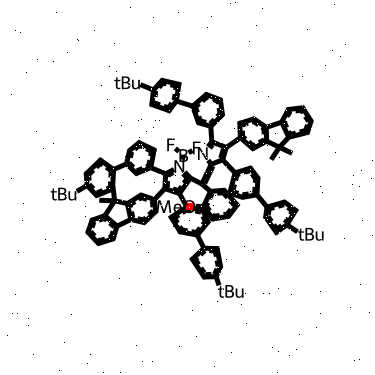 COc1ccccc1/C(=C1/N=C(c2cccc(-c3ccc(C(C)(C)C)cc3)c2)C(c2ccc3c(c2)C(C)(C)c2ccccc2-3)=C1c1ccc(-c2ccc(C(C)(C)C)cc2)cc1)c1c(-c2ccc(-c3ccc(C(C)(C)C)cc3)cc2)c(-c2ccc3c(c2)C(C)(C)c2ccccc2-3)c(-c2cccc(-c3ccc(C(C)(C)C)cc3)c2)n1B(F)F